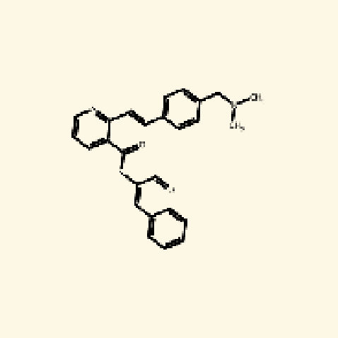 CN(C)Cc1ccc(/C=C/c2ncccc2C(=O)N/C(C=O)=C/c2ccccc2)cc1